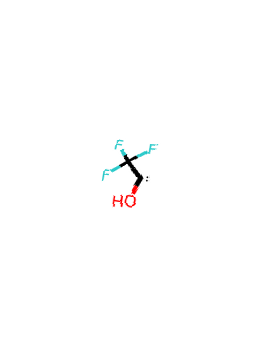 O[C]C(F)(F)F